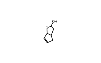 OC1CC2CC=CC2O1